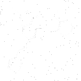 CC(C)c1cc(=O)c2c(OCc3ccccc3CO)cc(OCc3ccncc3)cc2o1